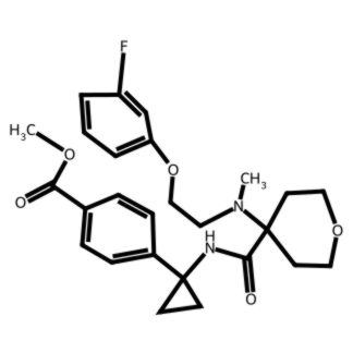 COC(=O)c1ccc(C2(NC(=O)C3(N(C)CCOc4cccc(F)c4)CCOCC3)CC2)cc1